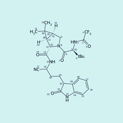 CC(C)(C)[C@H](NC(=O)C(F)(F)F)C(=O)N1C[C@H]2[C@@H]([C@H]1C(=O)NC(C#N)CCC1C(=O)Nc3ccccc31)C2(C)C